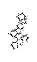 c1ccc2c(c1)Sc1cccc3c1B2c1cccc2c4cc5c(cc4n-3c12)sc1ccccc15